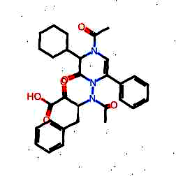 CC(=O)N1C=C(c2ccccc2)N(N(C(C)=O)[C@@H](Cc2ccccc2)C(=O)C(=O)O)C(=O)C1C1CCCCC1